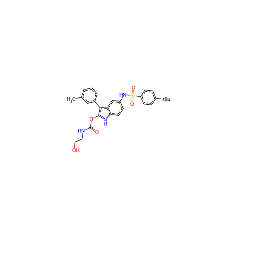 Cc1cccc(-c2c(OC(=O)NCCO)[nH]c3ccc(NS(=O)(=O)c4ccc(C(C)(C)C)cc4)cc23)c1